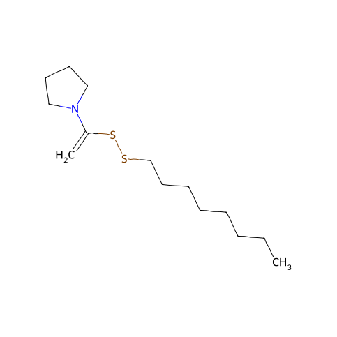 C=C(SSCCCCCCCC)N1CCCC1